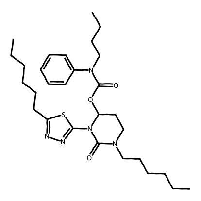 CCCCCCc1nnc(N2C(=O)N(CCCCCC)CCC2OC(=O)N(CCCC)c2ccccc2)s1